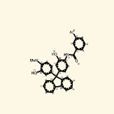 CNc1ccc(C2(c3ccc(NC(=O)c4cccc(C(C)=O)c4)c(O)c3)c3ccccc3-c3ccccc32)cc1O